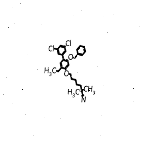 CCc1cc(-c2cc(Cl)cc(Cl)c2)c(OCc2ccccc2)cc1OCCCCCC(C)(C)C#N